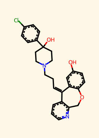 Oc1ccc2c(c1)C(=CCCN1CCC(O)(c3ccc(Cl)cc3)CC1)c1cccnc1CO2